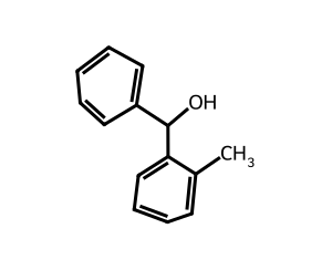 Cc1ccccc1C(O)c1ccccc1